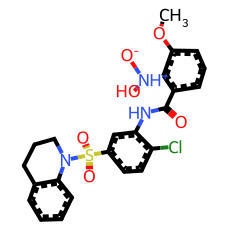 COc1cccc(C(=O)Nc2cc(S(=O)(=O)N3CCCc4ccccc43)ccc2Cl)c1[NH+]([O-])O